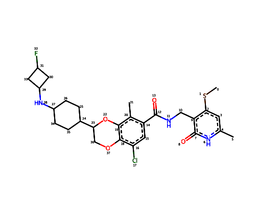 CSc1cc(C)[nH]c(=O)c1CNC(=O)c1cc(Cl)c2c(c1C)OC(C1CCC(NC3CC(F)C3)CC1)CO2